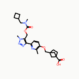 Cc1nc(-c2nnn(C)c2COC(=O)N(C)CC2CCC2)ccc1OCC12CCC(C(=O)O)(C1)C2